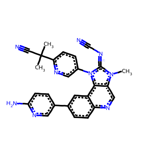 Cn1/c(=N/C#N)n(-c2ccc(C(C)(C)C#N)nc2)c2c3cc(-c4ccc(N)nc4)ccc3ncc21